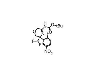 CC(C)(C)OC(=O)NC1=N[C@@](c2cc([N+](=O)[O-])ccc2F)(C(F)F)COC1